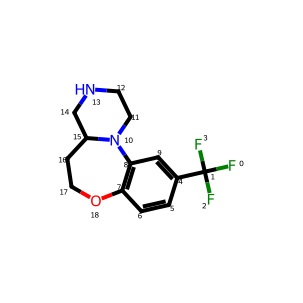 FC(F)(F)c1ccc2c(c1)N1CCNCC1CCO2